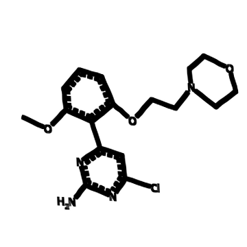 COc1cccc(OCCN2CCOCC2)c1-c1cc(Cl)nc(N)n1